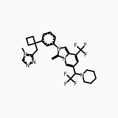 C=C1N2C=C(C(N3CCCCC3)C(F)(F)F)C=C(C(F)(F)F)C2=CN1c1cccc(C2(Cc3nncn3C)CCC2)c1